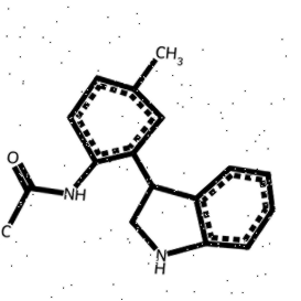 CC(=O)Nc1ccc(C)cc1C1CNc2ccccc21